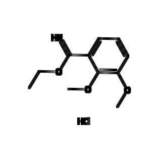 CCOC(=N)c1cccc(OC)c1OC.Cl